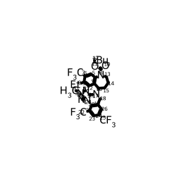 CCc1cc2c(cc1C(F)(F)F)N(C(=O)OC(C)(C)C)CCCC2N(Cc1cc(C(F)(F)F)cc(C(F)(F)F)c1)c1nnn(C)n1